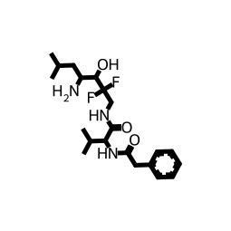 CC(C)CC(N)C(O)C(F)(F)CNC(=O)C(NC(=O)Cc1ccccc1)C(C)C